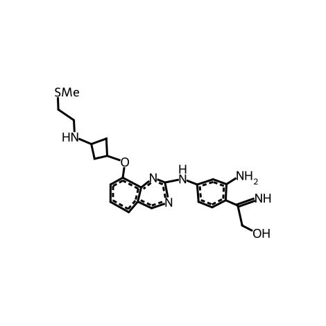 CSCCNC1CC(Oc2cccc3cnc(Nc4ccc(C(=N)CO)c(N)c4)nc23)C1